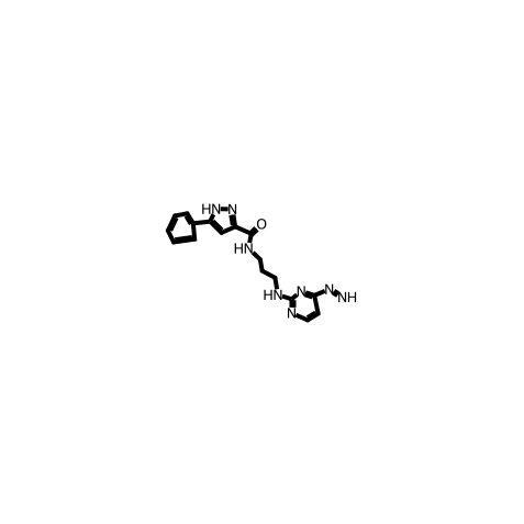 N=Nc1ccnc(NCCCNC(=O)c2cc(-c3ccccc3)[nH]n2)n1